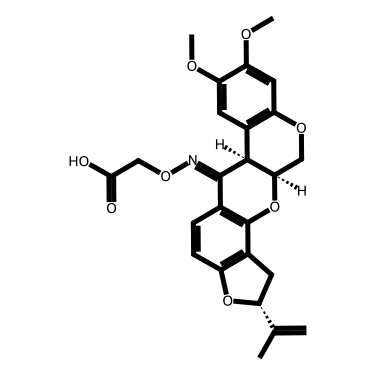 C=C(C)[C@H]1Cc2c(ccc3c2O[C@@H]2COc4cc(OC)c(OC)cc4[C@@H]2/C3=N/OCC(=O)O)O1